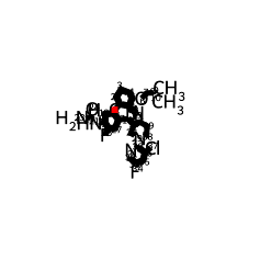 Cc1cccc(OCC(C)C)c1-n1nc2c(c1-c1ccc(NC(N)=O)c(F)c1)CN(c1ncc(F)cc1Cl)CC2